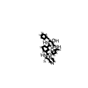 CC(NC[C@@H](O)[C@H](Cc1ccccc1)NC(=O)c1cccc(C(=O)N[C@@H](C)c2cnccn2)c1)c1ccco1